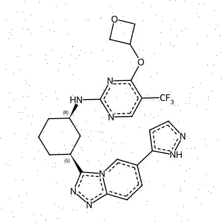 FC(F)(F)c1cnc(N[C@@H]2CCC[C@H](c3nnc4ccc(-c5ccn[nH]5)cn34)C2)nc1OC1COC1